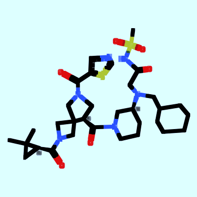 CC1(C)C[C@@H]1C(=O)N1CC2(CN(C(=O)c3cncs3)C[C@H]2C(=O)N2CCC[C@H](N(CC(=O)NS(C)(=O)=O)CC3CCCCC3)C2)C1